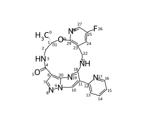 C[C@H]1CNC(=O)c2cnn3cc(-c4ccccn4)c(nc23)NCc2cc(F)cnc2O1